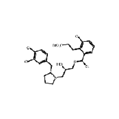 CCOC(=O)CCc1c(Cl)cccc1[C@@H](CC)OC[C@H](O)CN1CCC[C@H]1Cc1ccc(Cl)c(Cl)c1